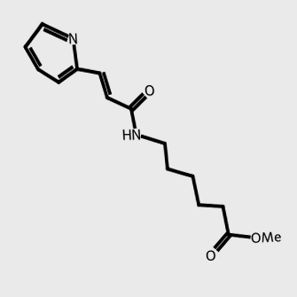 COC(=O)CCCCCNC(=O)/C=C/c1ccccn1